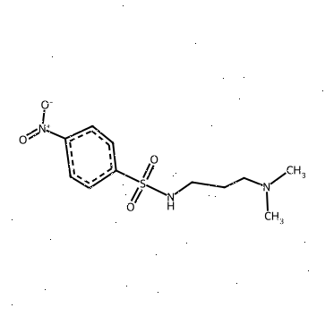 CN(C)CCCNS(=O)(=O)c1ccc([N+](=O)[O-])cc1